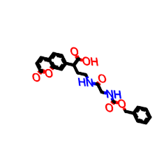 O=C(CNC(=O)OCc1ccccc1)NCCC(C(=O)O)c1ccc2ccc(=O)oc2c1